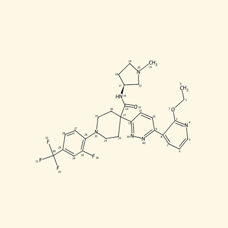 CCOc1ncccc1-c1ccc(C2(C(=O)N[C@H]3CCN(C)C3)CCN(c3ccc(C(F)(F)F)cc3F)CC2)nn1